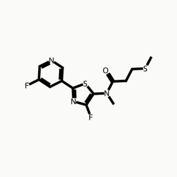 CSCCC(=O)N(C)c1sc(-c2cncc(F)c2)nc1F